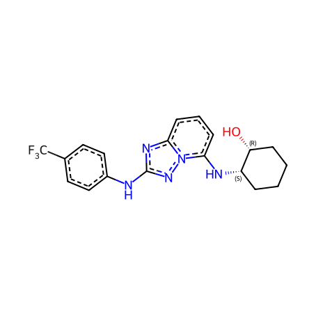 O[C@@H]1CCCC[C@@H]1Nc1cccc2nc(Nc3ccc(C(F)(F)F)cc3)nn12